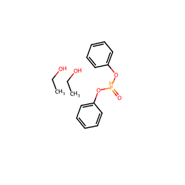 CCO.CCO.O=[PH](Oc1ccccc1)Oc1ccccc1